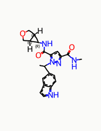 CNC(=O)c1cc(C(=O)N[C@H]2[C@@H]3COC[C@@H]32)n(C(C)c2ccc3[nH]ccc3c2)n1